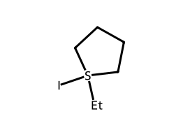 CCS1(I)CCCC1